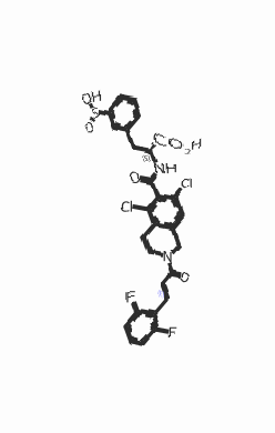 O=C(N[C@@H](Cc1cccc(S(=O)O)c1)C(=O)O)c1c(Cl)cc2c(c1Cl)CCN(C(=O)/C=C/c1c(F)cccc1F)C2